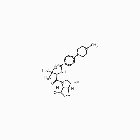 CCC(C)(C)C(NC(=O)c1ccc(N2CCN(C)CC2)cc1)C(=O)N1C[C@H](C(C)C)[C@H]2OCC(=O)[C@H]21